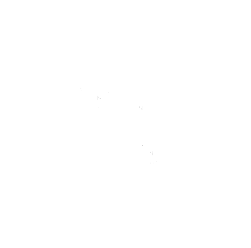 CC(=O)ON1C(C)(C)CC(CO[N+](=O)OCC2CC(C)(C)N(OC(C)=O)C2(C)C)C1(C)C